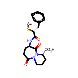 CC(=O)S[C@H](Cc1ccccc1)C(=O)NC1CCC(=O)N2CCC[C@@H](C(=O)O)N2C1=O